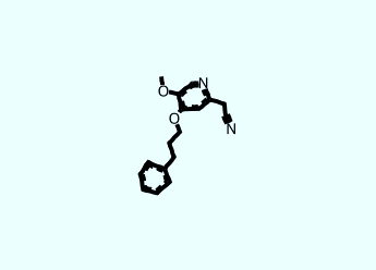 COc1cnc(CC#N)cc1OCCCc1ccccc1